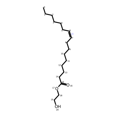 CCCCCC/C=C\CCCCCCCC(=O)OCCO